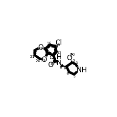 CO[C@@H]1CNCC[C@H]1CNC(=O)c1cc(Cl)cc2c1OCCCO2